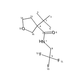 CC(C)(C)C1(C(=O)NCC(F)(F)F)CCOC1